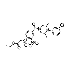 CCOC(=O)C[S+]([O-])c1ccc(C(=O)N2CC(C)N(c3cccc(Cl)c3)C(C)C2)cc1[N+](=O)[O-]